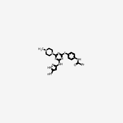 CCCc1cc(Nc2nc(Sc3ccc(NC(=O)C(C)C)cc3)nc(N3CCN(C)CC3)n2)n[nH]1